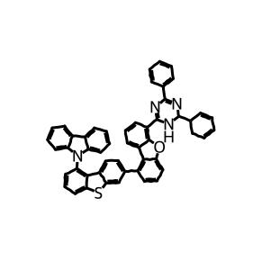 C1=CCC(C2N=C(c3ccccc3)N=C(c3cccc4c3oc3cccc(-c5ccc6c(c5)sc5cccc(-n7c8ccccc8c8ccccc87)c56)c34)N2)C=C1